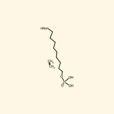 C=C.CCCCCCCCCCCCCCCCCCOP(=O)(O)O